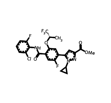 COC(=O)c1cc(-c2cc(O[C@@H](C)C(F)(F)F)c(C(=O)Nc3c(F)cccc3Cl)cc2F)n(C2CC2)n1